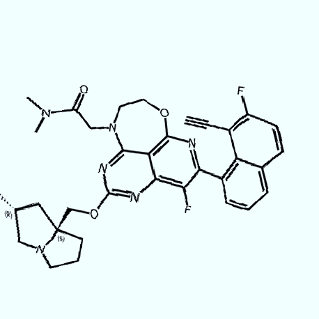 C#Cc1c(F)ccc2cccc(-c3nc4c5c(nc(OC[C@@]67CCCN6C[C@H](F)C7)nc5c3F)N(CC(=O)N(C)C)CCO4)c12